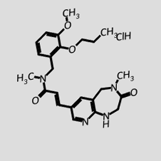 CCCOc1c(CN(C)C(=O)C=Cc2cnc3c(c2)CN(C)C(=O)CN3)cccc1OC.Cl